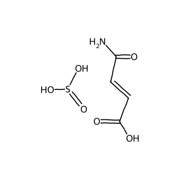 NC(=O)C=CC(=O)O.O=S(O)O